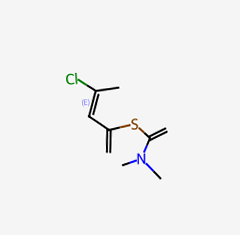 C=C(/C=C(\C)Cl)SC(=C)N(C)C